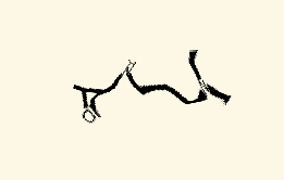 CC1OC1NCCCN(C)C